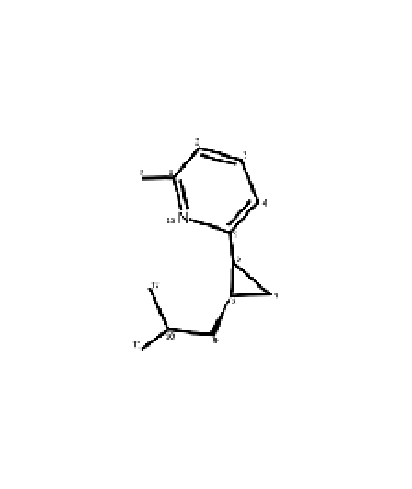 Cc1cccc(C2C[C@H]2CC(C)C)n1